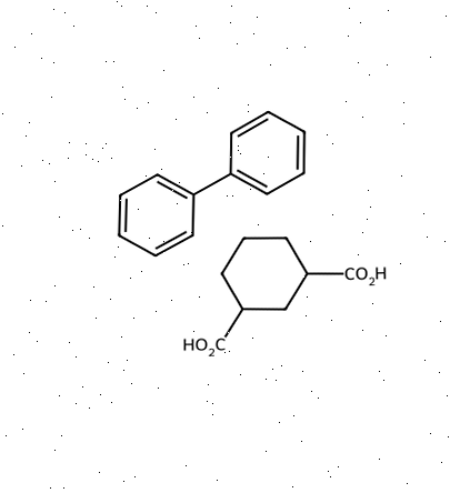 O=C(O)C1CCCC(C(=O)O)C1.c1ccc(-c2ccccc2)cc1